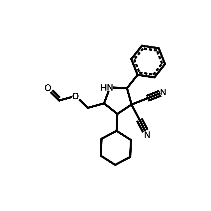 N#CC1(C#N)C(c2ccccc2)NC(COC=O)C1C1CCCCC1